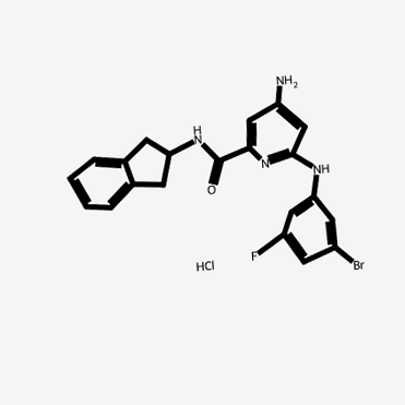 Cl.Nc1cc(Nc2cc(F)cc(Br)c2)nc(C(=O)NC2Cc3ccccc3C2)c1